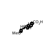 COc1ccc(CCC(=O)[C@H]2CC[C@H]3[C@@H]4CCc5cc(C(=O)O)ccc5[C@H]4CC[C@]23C)cc1